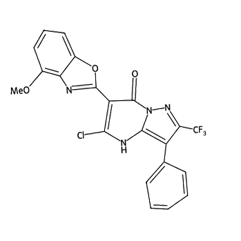 COc1cccc2oc(-c3c(Cl)[nH]c4c(-c5ccccc5)c(C(F)(F)F)nn4c3=O)nc12